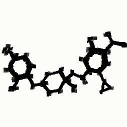 O=C(Cl)c1cc(C2CC2)c(OCC2(F)CCN(Cc3ccc(C(F)(F)F)cc3Cl)CC2)cc1F